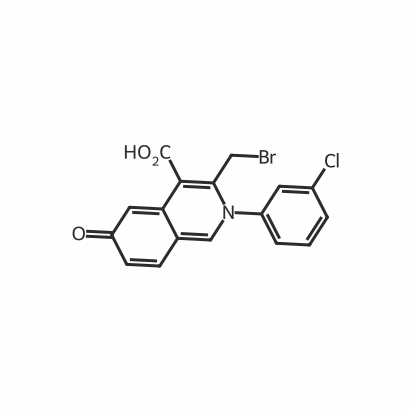 O=C(O)c1c2cc(=O)ccc-2cn(-c2cccc(Cl)c2)c1CBr